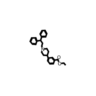 CCOC(=O)c1cccc(C2CCN(CCC(c3ccccc3)c3ccccc3)CC2)c1